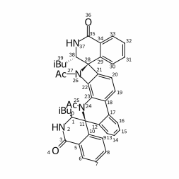 CCC(C)[C@@H]1NC(=O)c2ccccc2[C@@]12c1ccccc1-c1ccc3c(c1N2C(C)=O)N(C(C)=O)[C@@]31c2ccccc2C(=O)N[C@H]1C(C)CC